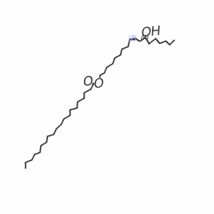 CCCCCCCCCCCCCCCCCCCC(=O)OCCCCCCCC/C=C\C[C@H](O)CCCCCC